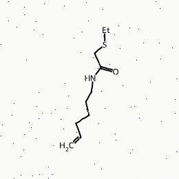 C=CCCCCNC(=O)CSCC